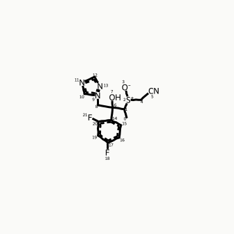 CC([S+]([O-])CC#N)C(O)(Cn1cncn1)c1ccc(F)cc1F